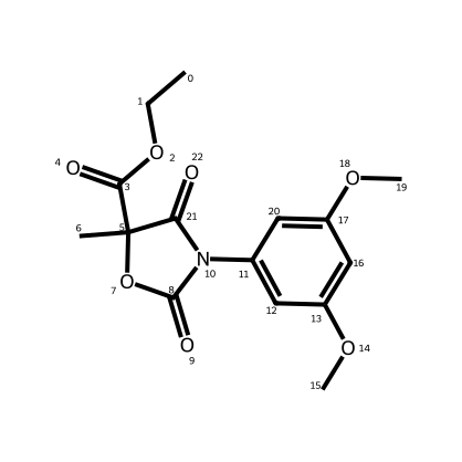 CCOC(=O)C1(C)OC(=O)N(c2cc(OC)cc(OC)c2)C1=O